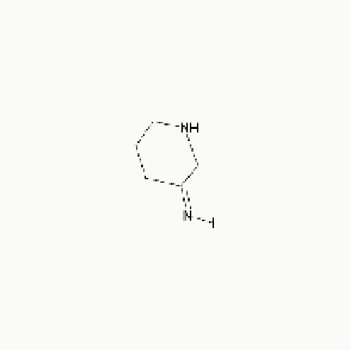 I/N=C1/CCCNC1